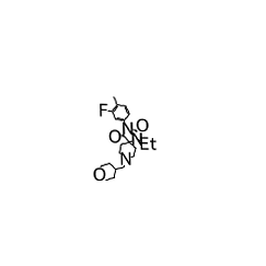 CCN1C(=O)N(c2ccc(C)c(F)c2)C(=O)C12CCN(CC1CCOCC1)CC2